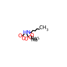 CCCCCC(=O)N[C@@H](CC(=O)[O-])C(=O)[O-].[Na+].[Na+]